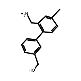 Cc1ccc(-c2cccc(CO)c2)c(CN)c1